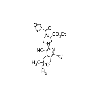 CCOC(=O)C1CN(c2nc(C3CC3)c3c(c2C#N)CC(C)(C)OC3)CCN1C(=O)c1ccoc1